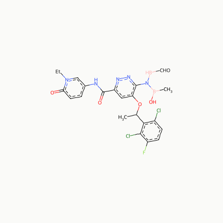 CCn1cc(NC(=O)c2cc(OC(C)c3c(Cl)ccc(F)c3Cl)c(N(BC=O)B(C)O)nn2)ccc1=O